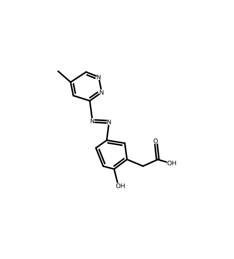 Cc1cnnc(/N=N/c2ccc(O)c(CC(=O)O)c2)c1